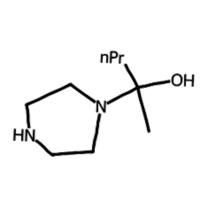 CCCC(C)(O)N1CCNCC1